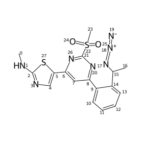 CNc1ncc(-c2cc(-c3ccccc3C(C)N=[N+]=[N-])nc(S(C)(=O)=O)n2)s1